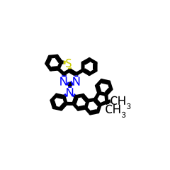 CC1(C)c2ccccc2-c2c1ccc1cc3c4ccccc4n(-c4nc(-c5ccccc5)c5sc6ccccc6c5n4)c3cc21